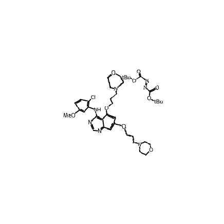 CC(C)(C)OC(=O)N=NC(=O)OC(C)(C)C.COc1ccc(Cl)c(Nc2ncnc3cc(OCCCN4CCOCC4)cc(OCCCN4CCOCC4)c23)c1